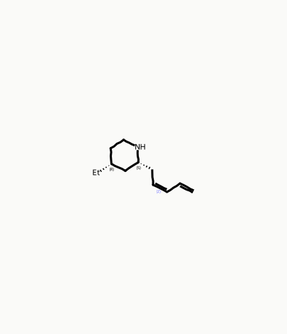 C=C/C=C\C[C@@H]1C[C@H](CC)CCN1